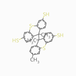 Cc1ccc2c(c1)Sc1cc(S)ccc1C2(C)C1(C)c2ccc(S)cc2Sc2cc(S)ccc21